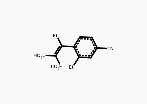 CCC(=C(C(=O)O)C(=O)O)c1ccc(C#N)cc1CC